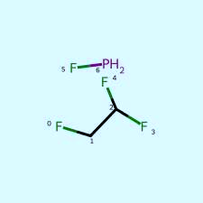 FCC(F)F.FP